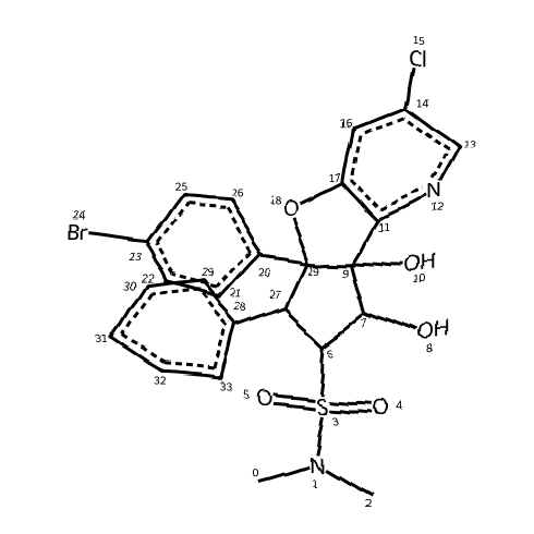 CN(C)S(=O)(=O)C1C(O)C2(O)c3ncc(Cl)cc3OC2(c2ccc(Br)cc2)C1c1ccccc1